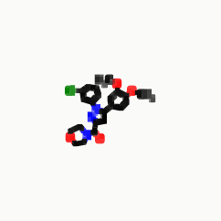 COc1ccc(-c2cc(C(=O)N3CCOCC3)nn2-c2cccc(Cl)c2)cc1OC